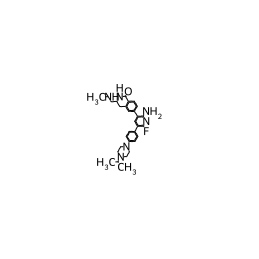 CNCC1Cc2cc(-c3cc(-c4ccc(N5CCN(C(C)C)CC5)cc4)c(F)nc3N)ccc2C(=O)N1